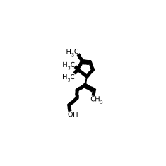 CC=C(CCCO)[C@@H]1CC=C(C)C1(C)C